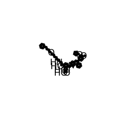 COc1ccc(C(Cc2cc[n+](Cc3ccc(C(O)CNCCCCCCOCCCCc4ccccc4)cc3OP(=O)(O)O)cc2)c2ccccc2)cc1OC1CCCC1